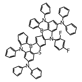 Fc1ccc(N2c3cc4c(cc3B3c5ccccc5N(c5ccccc5)c5cc(N(c6ccccc6)c6ccccc6)cc2c53)B2c3ccccc3N(c3ccccc3)c3cc(N(c5ccccc5)c5ccccc5)cc(c32)S4)c(F)c1